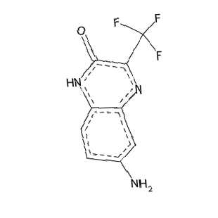 Nc1ccc2[nH]c(=O)c(C(F)(F)F)nc2c1